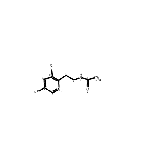 CC(=O)NCCc1ncc(F)cc1F